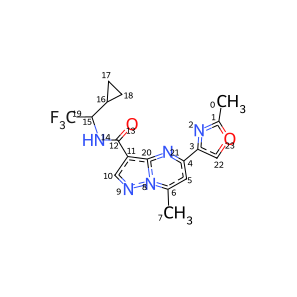 Cc1nc(-c2cc(C)n3ncc(C(=O)NC(C4CC4)C(F)(F)F)c3n2)co1